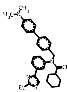 C=C(C1CCCCC1)N(Cc1ccc(-c2ccc(N(C)C)cc2)cc1)c1cccc(-c2csc(CC)n2)c1